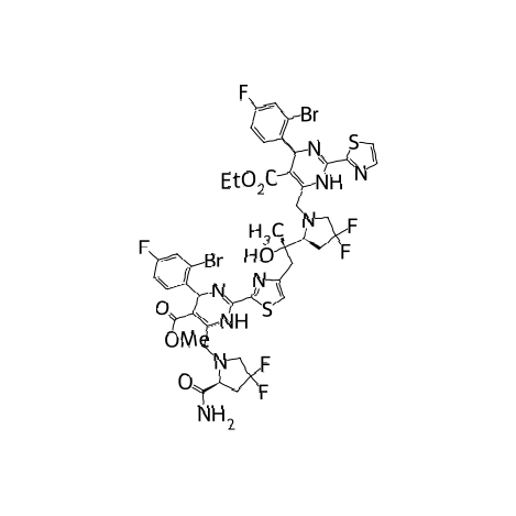 CCOC(=O)C1=C(CN2CC(F)(F)C[C@H]2[C@@](C)(O)Cc2csc(C3=NC(c4ccc(F)cc4Br)C(C(=O)OC)=C(CN4CC(F)(F)C[C@H]4C(N)=O)N3)n2)NC(c2nccs2)=NC1c1ccc(F)cc1Br